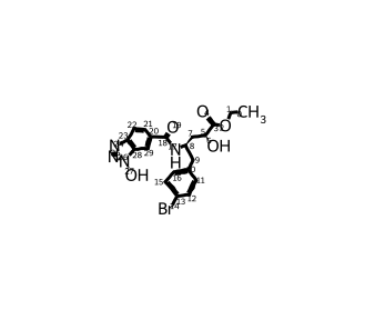 CCOC(=O)[C@H](O)C[C@@H](Cc1ccc(Br)cc1)NC(=O)c1ccc2nnn(O)c2c1